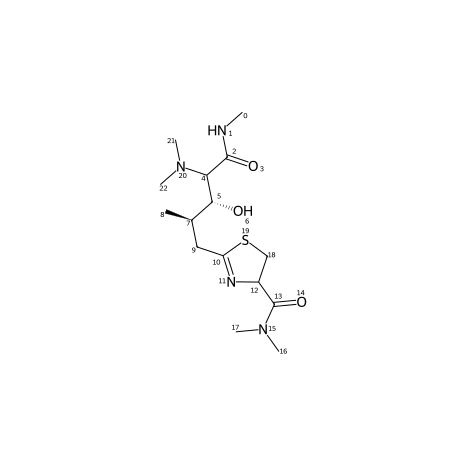 CNC(=O)C([C@H](O)[C@H](C)CC1=NC(C(=O)N(C)C)CS1)N(C)C